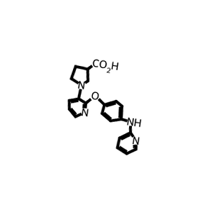 O=C(O)C1CCN(c2cccnc2Oc2ccc(Nc3ccccn3)cc2)C1